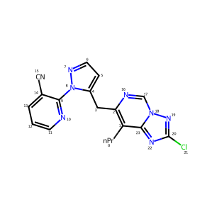 CCCc1c(Cc2ccnn2-c2ncccc2C#N)ncn2nc(Cl)nc12